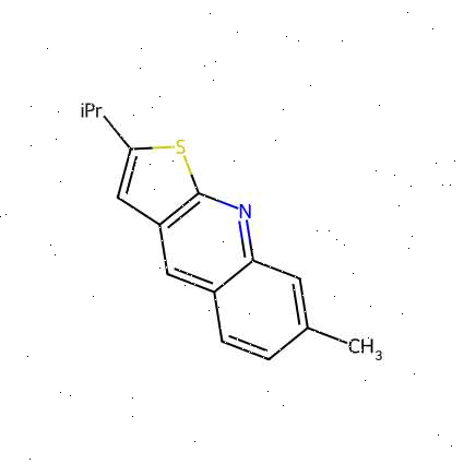 Cc1ccc2cc3cc(C(C)C)sc3nc2c1